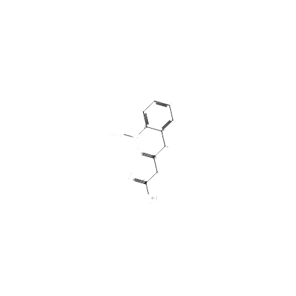 COc1ccccc1CC(=O)CC(=O)O